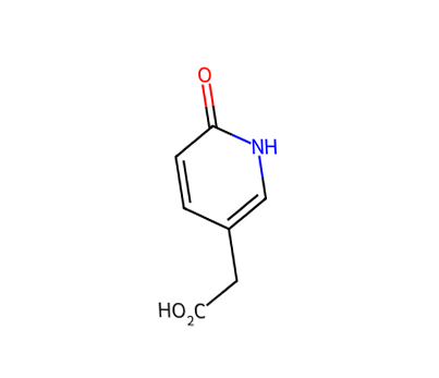 O=C(O)Cc1ccc(=O)[nH]c1